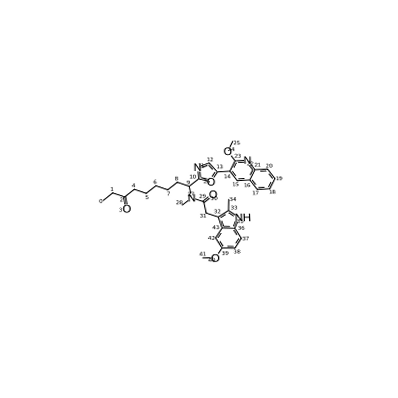 CCC(=O)CCCCCC(c1ncc(-c2cc3ccccc3nc2OC)o1)N(C)C(=O)Cc1c(C)[nH]c2ccc(OC)cc12